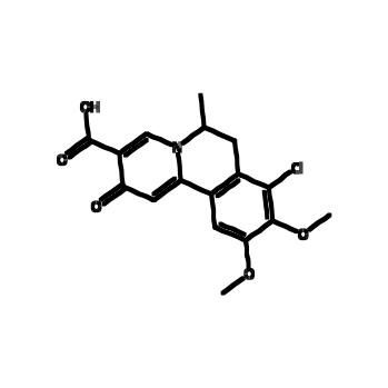 COc1cc2c(c(Cl)c1OC)CC(C)n1cc(C(=O)O)c(=O)cc1-2